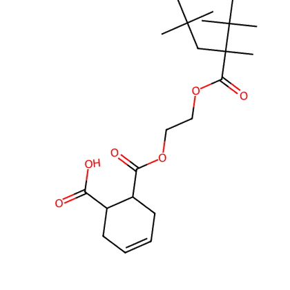 CC(C)(C)CC(C)(C(=O)OCCOC(=O)C1CC=CCC1C(=O)O)C(C)(C)C